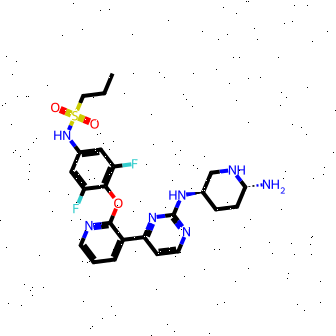 CCCS(=O)(=O)Nc1cc(F)c(Oc2ncccc2-c2ccnc(N[C@@H]3CC[C@@H](N)NC3)n2)c(F)c1